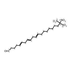 O=[C]CCCC=CCC=CCC=CCCCCCCCC([N+](=O)[O-])([N+](=O)[O-])[N+](=O)[O-]